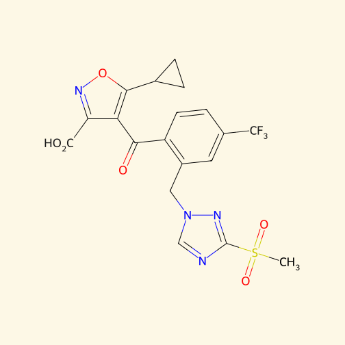 CS(=O)(=O)c1ncn(Cc2cc(C(F)(F)F)ccc2C(=O)c2c(C(=O)O)noc2C2CC2)n1